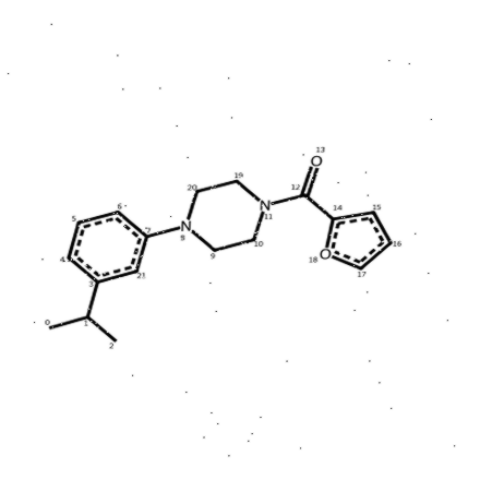 CC(C)c1[c]ccc(N2CCN(C(=O)c3ccco3)CC2)c1